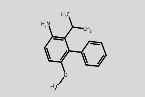 COc1ccc(N)c(C(C)C)c1-c1ccccc1